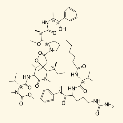 CCCCCC(=O)N[C@@H](C(=O)NC(CCCNC(N)=O)C(=O)Nc1ccc(COC(=O)N(C)[C@@H](C(=O)NC(C(=O)N(C)C([C@@H](C)CC)C(C)(CC(=O)N2CCC[C@H]2C(OC)[C@@H](C)C(=O)N[C@H](C)[C@@H](O)c2ccccc2)OC)C(C)C)C(C)C)cc1)C(C)C